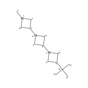 CN1CC(N2CC(N3CC(C(C)(C)C)C3)C2)C1